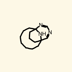 C1=NC=NC23CCCCCCCC1(CCC2)N3